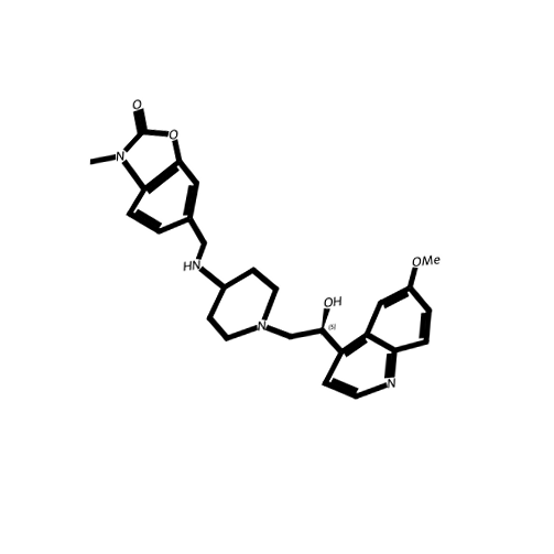 COc1ccc2nccc([C@H](O)CN3CCC(NCc4ccc5c(c4)oc(=O)n5C)CC3)c2c1